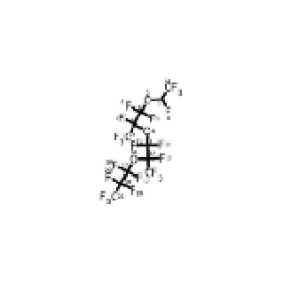 F[C](OC(F)(F)C(F)(OC(F)(F)C(F)(OC(F)(F)C(F)(F)C(F)(F)F)C(F)(F)F)C(F)(F)F)C(F)(F)F